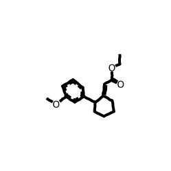 CCOC(=O)/C=C1\CCCCC1c1cccc(OC)c1